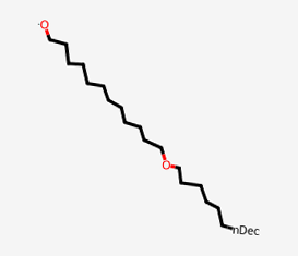 CCCCCCCCCCCCCCCCOCCCCCCCCCCCC[O]